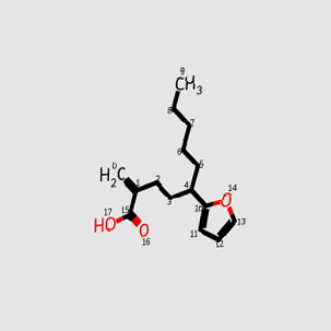 C=C(CCC(CCCCC)c1ccco1)C(=O)O